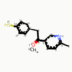 C.Cc1ccc(C(=O)Cc2ccc(S)cc2)cn1